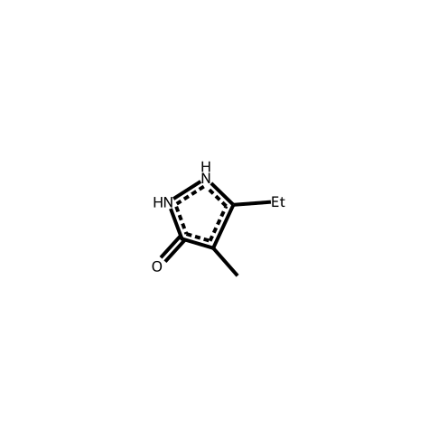 CCc1[nH][nH]c(=O)c1C